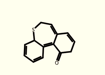 O=C1CC=CC2=CCSC3C=CC=CC3=C12